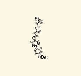 CCCCCCCCCCc1ccc(-c2ncc(OCCC(F)CCCC(F)CC)cn2)cc1